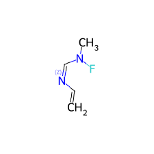 C=C/N=C\N(C)F